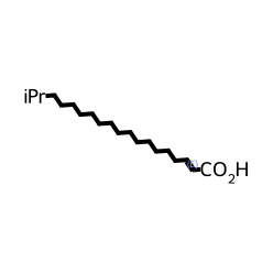 CC(C)CCCCCCCCCCCCCC/C=C/C(=O)O